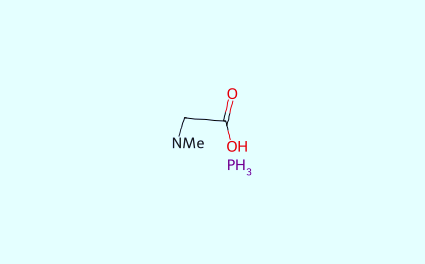 CNCC(=O)O.P